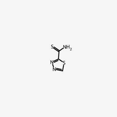 NC(=S)c1nncs1